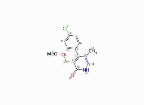 COOSc1c(-c2ccc(Cl)cc2)c(C)n[nH]c1=O